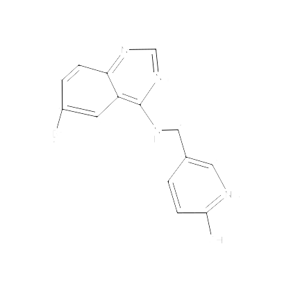 Cc1ccc(CNc2ncnc3ccc(Br)cc23)cn1